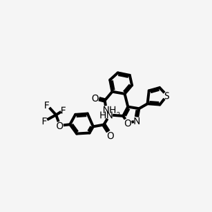 NC(=O)c1ccccc1-c1c(-c2ccsc2)noc1NC(=O)c1ccc(OC(F)(F)F)cc1